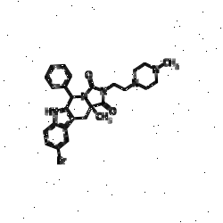 CN1CCN(CCN2C(=O)N3C(c4ccccc4)c4[nH]c5ccc(Br)cc5c4CC3(C)C2=O)CC1